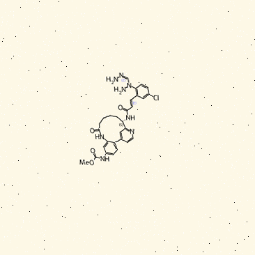 COC(=O)Nc1ccc2c(c1)NC(=O)CCCC[C@H](NC(=O)/C=C/c1cc(Cl)ccc1N(N)/C=N\N)c1cc-2ccn1